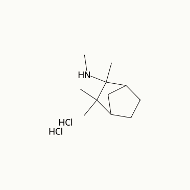 CNC1(C)C2CCC(C2)C1(C)C.Cl.Cl